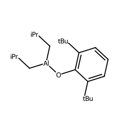 CC(C)[CH2][Al]([CH2]C(C)C)[O]c1c(C(C)(C)C)cccc1C(C)(C)C